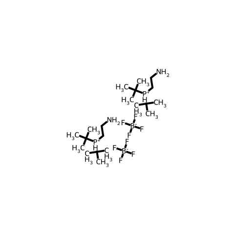 CC(C)(C)[PH+](CCN)C(C)(C)C.CC(C)(C)[PH+](CCN)C(C)(C)C.F[B-](F)(F)F.F[B-](F)(F)F